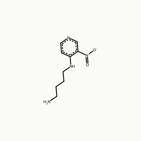 NCCCCNc1ccncc1[N+](=O)[O-]